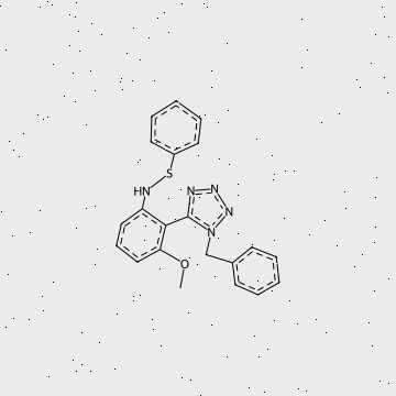 COc1cccc(NSc2ccccc2)c1-c1nnnn1Cc1ccccc1